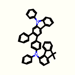 CC1(C)c2ccccc2-c2c(N(c3ccccc3)c3ccc(-c4cc5c6ccccc6n(-c6ccccc6)c5cc4-c4ccccc4)cc3)cccc21